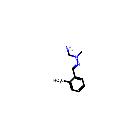 CN(CN)N=Cc1ccccc1C(=O)O